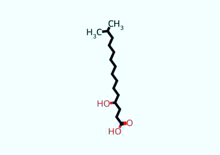 CC(C)CCCCCCCCCC(O)CCC(=O)O